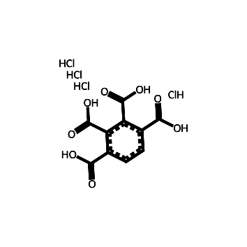 Cl.Cl.Cl.Cl.O=C(O)c1ccc(C(=O)O)c(C(=O)O)c1C(=O)O